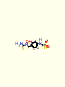 NC(=S)N(O)Cc1ccc(NC[SH](=O)=O)cc1